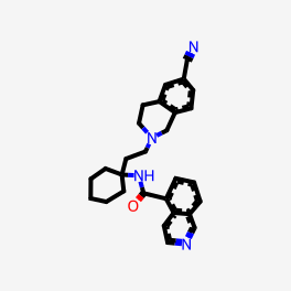 N#Cc1ccc2c(c1)CCN(CCC1(NC(=O)c3cccc4cnccc34)CCCCC1)C2